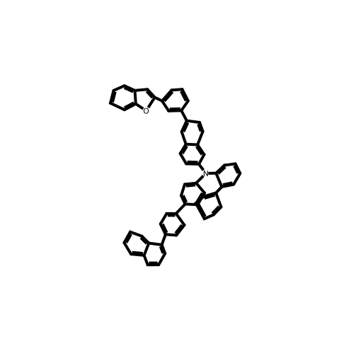 c1ccc(-c2ccccc2N(c2ccc(-c3ccc(-c4cccc5ccccc45)cc3)cc2)c2ccc3cc(-c4cccc(-c5cc6ccccc6o5)c4)ccc3c2)cc1